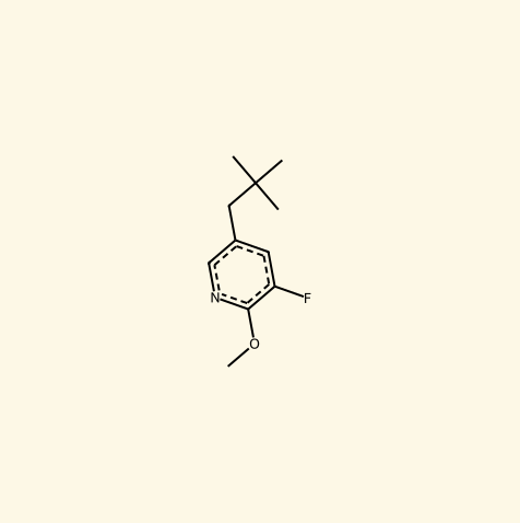 COc1ncc(CC(C)(C)C)cc1F